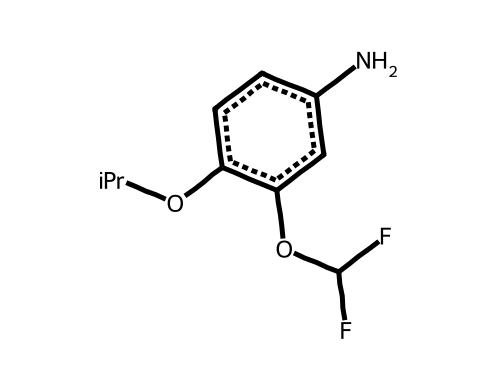 CC(C)Oc1ccc(N)cc1OC(F)F